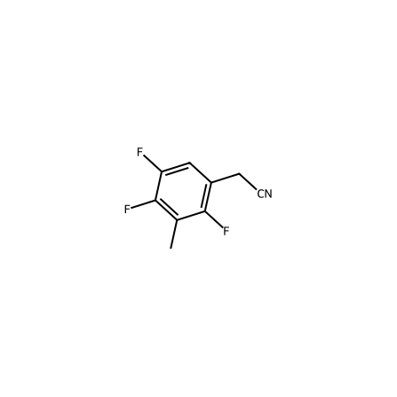 Cc1c(F)c(F)cc(CC#N)c1F